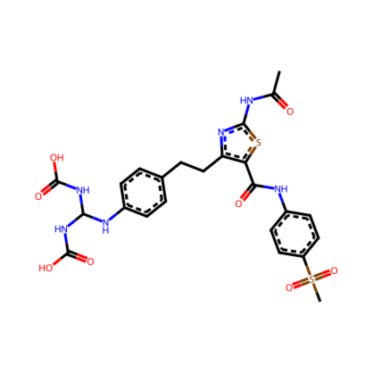 CC(=O)Nc1nc(CCc2ccc(NC(NC(=O)O)NC(=O)O)cc2)c(C(=O)Nc2ccc(S(C)(=O)=O)cc2)s1